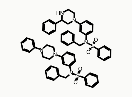 O=S(=O)(c1ccccc1)N(Cc1ccccc1)c1cccc(N2CCN(c3ccccc3)CC2)c1.O=S(=O)(c1ccccc1)N(Cc1ccccc1)c1cccc(N2CCNC(c3ccccc3)C2)c1